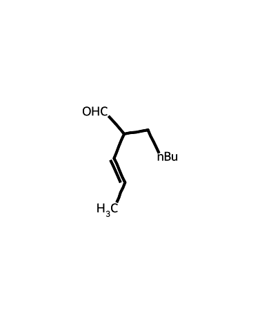 CC=CC(C=O)CCCCC